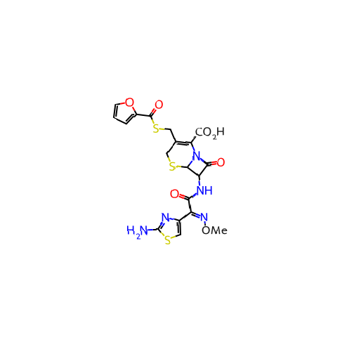 CON=C(C(=O)NC1C(=O)N2C(C(=O)O)=C(CSC(=O)c3ccco3)CSC12)c1csc(N)n1